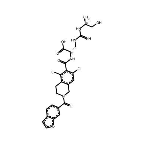 C[C@@H](CO)NC(=N)NC[C@H](NC(=O)c1c(Cl)cc2c(c1Cl)CCN(C(=O)c1ccc3ccoc3c1)C2)C(=O)O